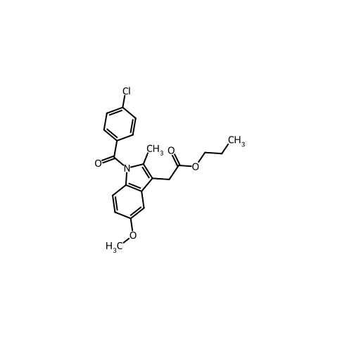 CCCOC(=O)Cc1c(C)n(C(=O)c2ccc(Cl)cc2)c2ccc(OC)cc12